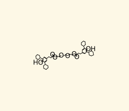 O=C(CCc1cc(C2CCCCC2)c(O)c(C2CCCCC2)c1)OCCOCCOCCOC(=O)CCc1cc(C2CCCCC2)c(O)c(C2CCCCC2)c1